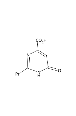 CC(C)c1nc(C(=O)O)cc(=O)[nH]1